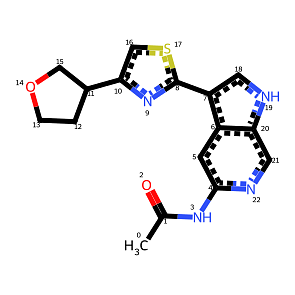 CC(=O)Nc1cc2c(-c3nc(C4CCOC4)cs3)c[nH]c2cn1